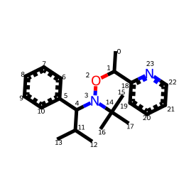 CC(ON(C(c1ccccc1)C(C)C)C(C)(C)C)c1ccccn1